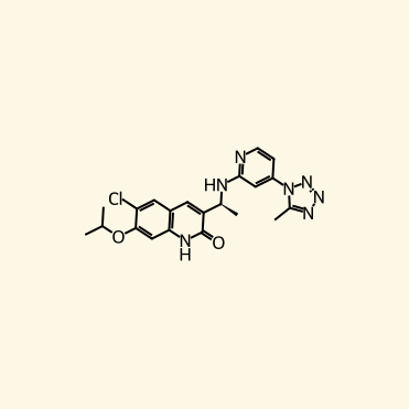 Cc1nnnn1-c1ccnc(N[C@@H](C)c2cc3cc(Cl)c(OC(C)C)cc3[nH]c2=O)c1